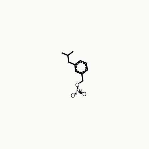 CC(C)Cc1cccc(CO[N+](=O)[O-])c1